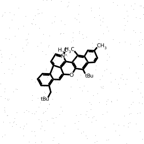 Cc1ccc2c(C(C)(C)C)c3c(c(C)c2c1)-c1c2c(cc4c(CC(C)(C)C)cccc4c2cc[n+]1C)O3